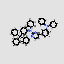 c1ccc(N(c2ccccc2)c2cccc(-c3ccnc(-n4c5ccccc5c5ccc(C6(c7ccccc7)c7ccccc7-c7ccccc76)cc54)n3)c2)cc1